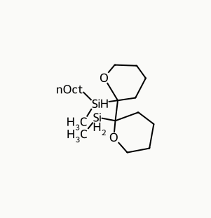 CCCCCCCC[SiH](C)C1(C2([SiH2]C)CCCCO2)CCCCO1